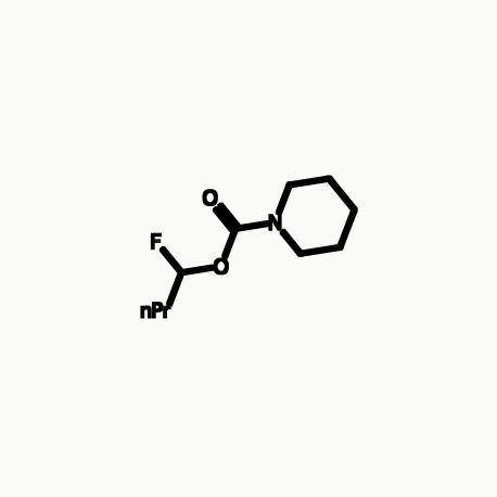 CCCC(F)OC(=O)N1CCCCC1